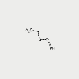 CCSP=P